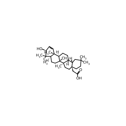 CC1(C)CC[C@]2(CC(=O)O)CC[C@]3(C)[C@H](CC[C@@H]4[C@@]5(C)C=C[C@H](O)C(C)(C)[C@@H]5CC[C@]43C)[C@@H]2C1